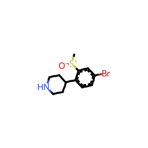 C[S+]([O-])c1cc(Br)ccc1C1CCNCC1